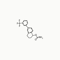 NC(=O)OC1CCCc2cc(-c3cccc(C(F)(F)F)c3)ccc21